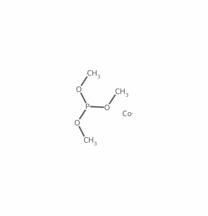 COP(OC)OC.[Co]